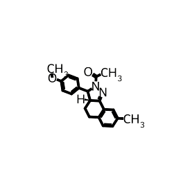 COc1ccc(C2[C@H]3CCc4ccc(C)cc4C3=NN2C(C)=O)cc1